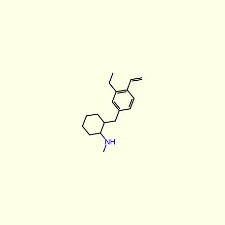 C=Cc1ccc(CC2CCCCC2NC)cc1CC